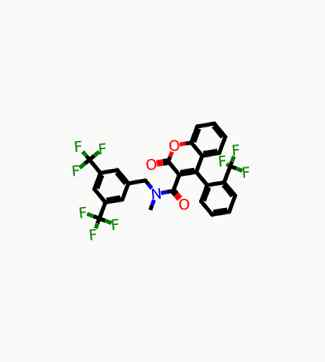 CN(Cc1cc(C(F)(F)F)cc(C(F)(F)F)c1)C(=O)c1c(-c2ccccc2C(F)(F)F)c2ccccc2oc1=O